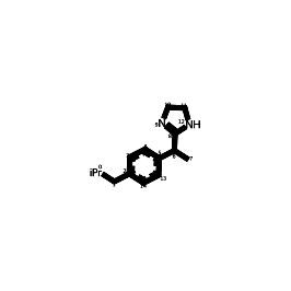 CC(C)Cc1ccc(C(C)C2=NCCN2)cc1